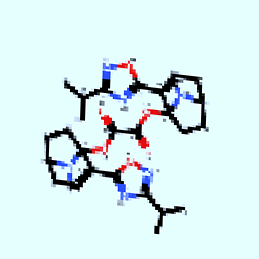 CC(C)c1noc(C2=CCC3CCC2(OC(=O)C(=O)OC24CCC(CC=C2c2nc(C(C)C)no2)N4C)N3C)n1